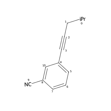 CC(C)CC#Cc1cccc(C#N)c1